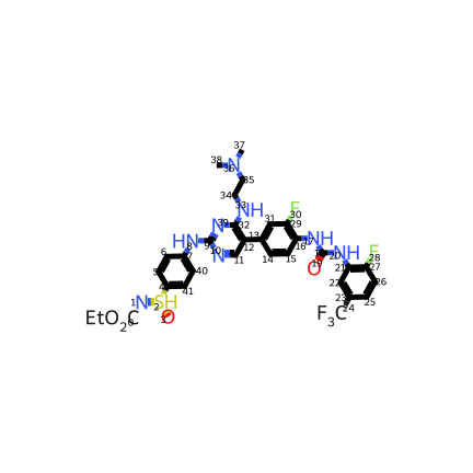 CCOC(=O)N=[SH](=O)c1ccc(Nc2ncc(-c3ccc(NC(=O)Nc4cc(C(F)(F)F)ccc4F)c(F)c3)c(NCCN(C)C)n2)cc1